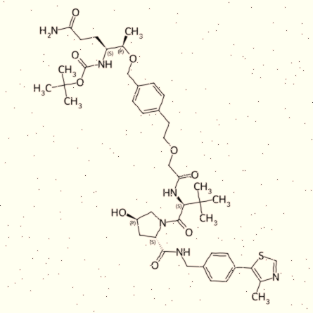 Cc1ncsc1-c1ccc(CNC(=O)[C@@H]2C[C@@H](O)CN2C(=O)[C@@H](NC(=O)COCCc2ccc(CO[C@H](C)[C@H](CCC(N)=O)NC(=O)OC(C)(C)C)cc2)C(C)(C)C)cc1